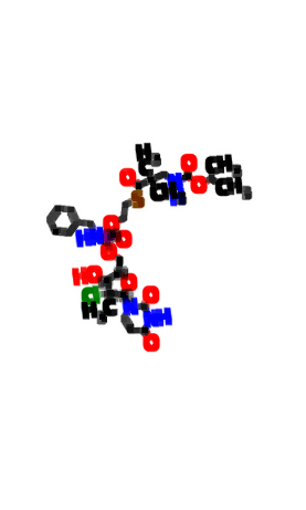 CC(C)OC(=O)NCC(C)(C)C(=O)SCCO[P@](=O)(NCc1ccccc1)OC[C@H]1O[C@@H](n2ccc(=O)[nH]c2=O)[C@](C)(Cl)[C@@H]1O